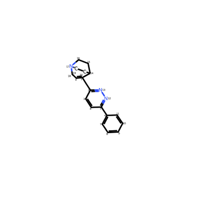 C1=C(c2ccc(-c3ccccc3)nn2)C2CCN(C1)CC2